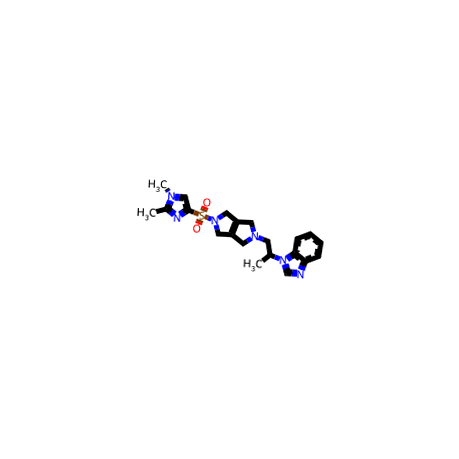 Cc1nc(S(=O)(=O)N2CC3=C(CN(CC(C)n4cnc5ccccc54)C3)C2)cn1C